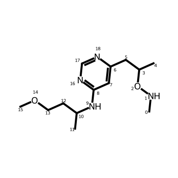 CNOC(C)Cc1cc(NC(C)CCOC)ncn1